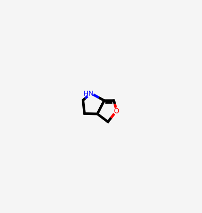 C1=C2NCCC2CO1